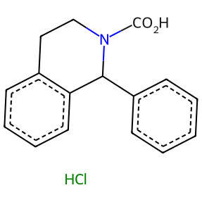 Cl.O=C(O)N1CCc2ccccc2C1c1ccccc1